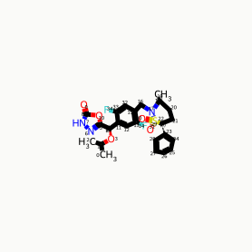 CC(C)O[C@@H](c1n[nH]c(=O)o1)c1cc(F)c(CN2[C@@H](C)CC[C@H](c3ccccc3)S2(=O)=O)cc1F